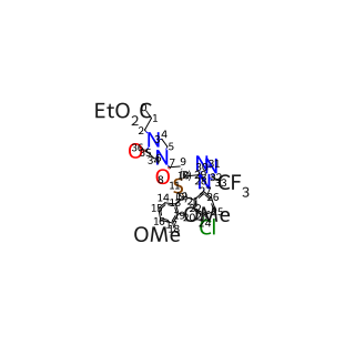 CCOC(=O)CCN1CCN(C(=O)C[C@H]2S[C@H](c3cccc(OC)c3OC)c3cc(Cl)ccc3-n3c2nnc3C(F)(F)F)CC1=O